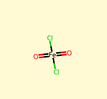 [O]=[Fe](=[O])([Cl])[Cl]